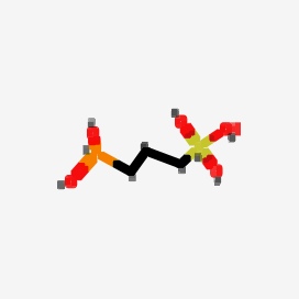 O=P(=O)CCCS(=O)(=O)O